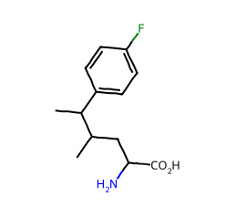 CC(CC(N)C(=O)O)C(C)c1ccc(F)cc1